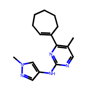 Cc1cnc(Nc2cnn(C)c2)nc1C1=CCCCCC1